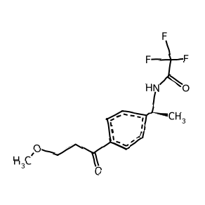 COCCC(=O)c1ccc([C@H](C)NC(=O)C(F)(F)F)cc1